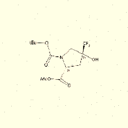 COC(=O)[C@H]1C[C@](O)(C(F)(F)F)CN1C(=O)OC(C)(C)C